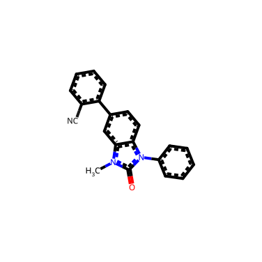 Cn1c(=O)n(-c2ccccc2)c2ccc(-c3ccccc3C#N)cc21